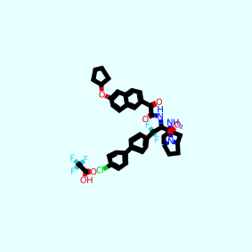 NC1CC2CCC(C1)N2C(=O)C(NC(=O)C(=O)c1ccc2cc(OC3CCCC3)ccc2c1)C(F)(F)c1ccc(-c2ccc(Cl)cc2)cc1.O=C(O)C(F)(F)F